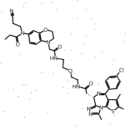 CCC(=O)N(CCC#N)c1ccc2c(c1)OCCN2CC(=O)NCCOCCNC(=O)C[C@@H]1N=C(c2ccc(Cl)cc2)c2c(sc(C)c2C)-n2c(C)nnc21